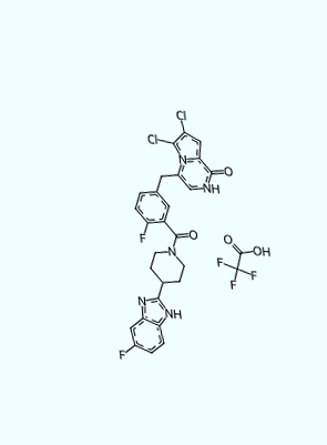 O=C(O)C(F)(F)F.O=C(c1cc(Cc2c[nH]c(=O)c3cc(Cl)c(Cl)n23)ccc1F)N1CCC(c2nc3cc(F)ccc3[nH]2)CC1